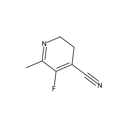 CC1=NCCC(C#N)=C1F